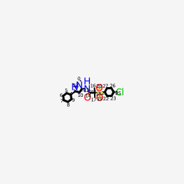 Cn1nc(-c2ccccc2)cc1NC(=O)C(C)(C)S(=O)(=O)c1ccc(Cl)cc1